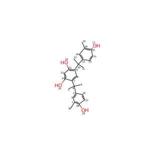 Cc1cc(C(C)(C)c2cc(C(C)(C)c3ccc(O)c(C)c3)c(O)cc2O)ccc1O